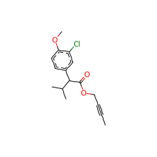 CC#CCOC(=O)C(c1ccc(OC)c(Cl)c1)C(C)C